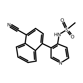 CS(=O)(=O)Nc1ccncc1-c1ccc(C#N)c2ccccc12